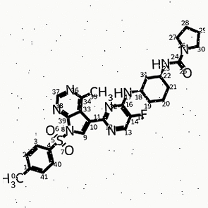 Cc1ccc(S(=O)(=O)n2cc(-c3ncc(F)c(N[C@@H]4CCC[C@H](NC(=O)N5CCCC5)C4)n3)c3c(C)ncnc32)cc1